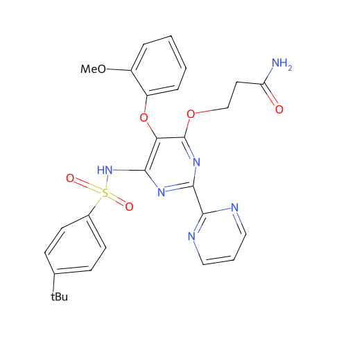 COc1ccccc1Oc1c(NS(=O)(=O)c2ccc(C(C)(C)C)cc2)nc(-c2ncccn2)nc1OCCC(N)=O